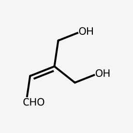 O=CC=C(CO)CO